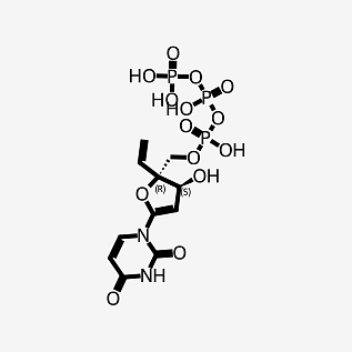 C=C[C@]1(COP(=O)(O)OP(=O)(O)OP(=O)(O)O)OC(n2ccc(=O)[nH]c2=O)=C[C@@H]1O